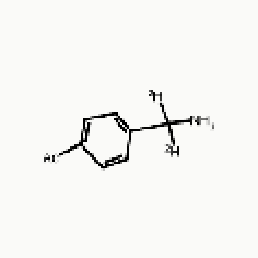 [2H]C([2H])(N)c1ccc(C(C)=O)cc1